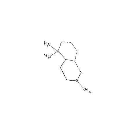 BC1(C)CCCC2CN(C)CCC21